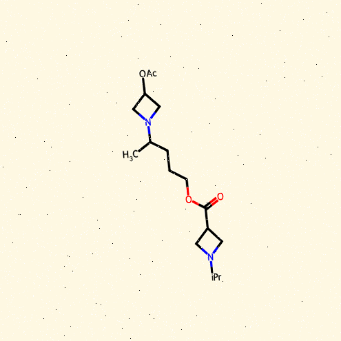 CC(=O)OC1CN(C(C)CCCOC(=O)C2CN(C(C)C)C2)C1